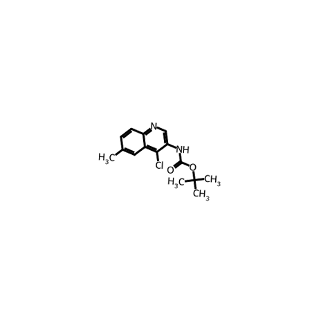 Cc1ccc2ncc(NC(=O)OC(C)(C)C)c(Cl)c2c1